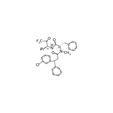 CC(C)[C@H](NC(=O)[C@H](Cc1ccccc1)N(C)C(=O)CC(c1ccccc1)c1cccc(Cl)c1)C(=O)C(F)(F)F